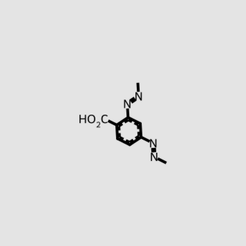 CN=Nc1ccc(C(=O)O)c(N=NC)c1